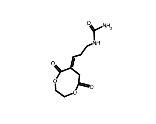 NC(=O)NCCC=C1CC(=O)OCCOC1=O